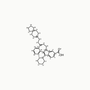 O=C(O)c1ccc2c(C3CCCCC3)c3n(c2c1)CCN(CCN1CCC2(CCCC2)CC1)c1ccccc1-3